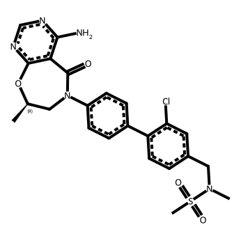 C[C@@H]1CN(c2ccc(-c3ccc(CN(C)S(C)(=O)=O)cc3Cl)cc2)C(=O)c2c(N)ncnc2O1